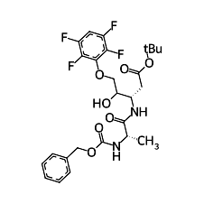 C[C@H](NC(=O)OCc1ccccc1)C(=O)N[C@@H](CC(=O)OC(C)(C)C)C(O)COc1c(F)c(F)cc(F)c1F